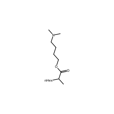 CCCCCCC(C)C(=O)OCCCCN(C)C